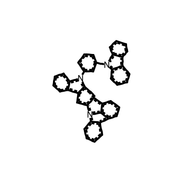 c1cc(-n2c3ccccc3c3ccccc32)cc(-n2c3ccccc3c3cc4c(cc32)c2cccc3c5ccccc5n4c32)c1